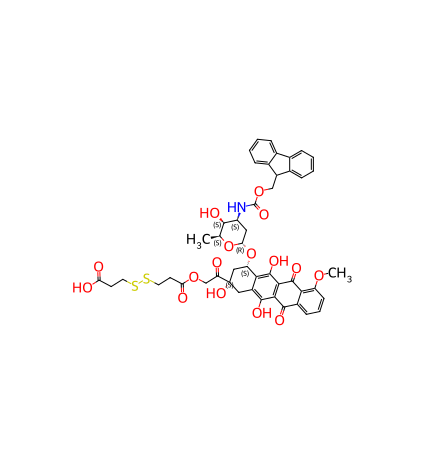 COc1cccc2c1C(=O)c1c(O)c3c(c(O)c1C2=O)C[C@@](O)(C(=O)COC(=O)CCSSCCC(=O)O)C[C@@H]3O[C@H]1C[C@H](NC(=O)OCC2c3ccccc3-c3ccccc32)[C@H](O)[C@H](C)O1